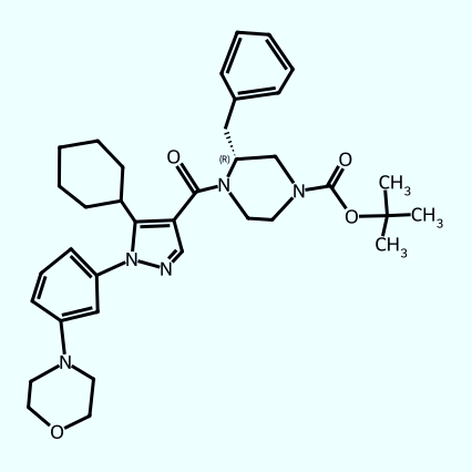 CC(C)(C)OC(=O)N1CCN(C(=O)c2cnn(-c3cccc(N4CCOCC4)c3)c2C2CCCCC2)[C@H](Cc2ccccc2)C1